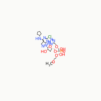 COCCOC[C@@](COCc1nnn[nH]1)(OC[C@@H]1C[C@@H](O)[C@H](n2ncc3c(NC4CCCC4)nc(Cl)nc32)O1)P(=O)(O)O